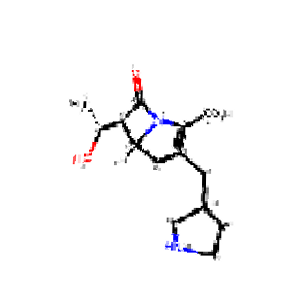 C[C@@H](O)[C@H]1C(=O)N2C(C(=O)O)=C(CC3CCNC3)C[C@H]12